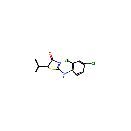 CC(C)C1SC(Nc2ccc(Cl)cc2Cl)=NC1=O